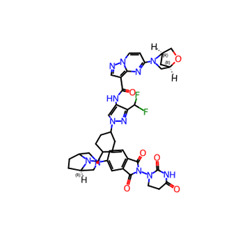 O=C1CCN(N2C(=O)c3ccc(N4CC5CC[C@H](C4)N5CC4CCC(n5cc(NC(=O)c6cnn7ccc(N8C[C@H]9C[C@@H]8CO9)nc67)c(C(F)F)n5)CC4)cc3C2=O)C(=O)N1